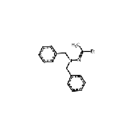 CC/C(C)=N/N(Cc1ccccc1)Cc1ccccc1